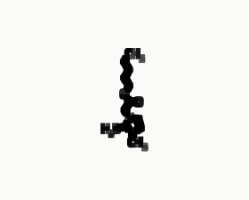 BC1N(C)C=CN1CC(=O)OCCCCC